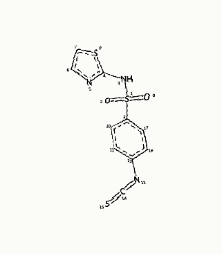 O=S(=O)(Nc1nccs1)c1ccc(N=C=S)cc1